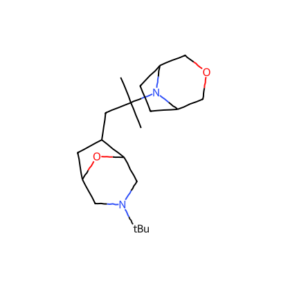 CC(C)(C)N1CC2CC(CC(C)(C)N3C4CCC3COC4)C(C1)O2